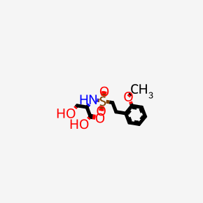 COc1ccccc1CCS(=O)(=O)NC(CO)C(=O)O